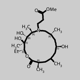 CC[C@H]1OC(=O)[C@H](C)CC(C)C[C@H](O)C[C@@H](C)CN(CCC(=O)OC)[C@H](C)[C@@H](O)[C@]1(C)O